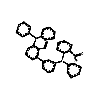 O=Cc1c(-c2cccc(P(c3ccccc3)c3ccccc3C(=O)O)c2)cccc1P(c1ccccc1)c1ccccc1